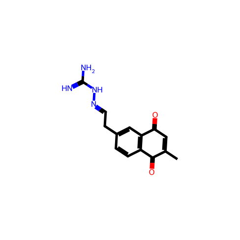 CC1=CC(=O)c2cc(CC=NNC(=N)N)ccc2C1=O